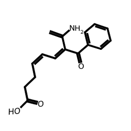 C=C(N)/C(=C\C=C/CCC(=O)O)C(=O)c1ccccc1